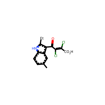 CCc1[nH]c2ccc(C)cc2c1C(=O)C(Cl)=C(Cl)C(=O)O